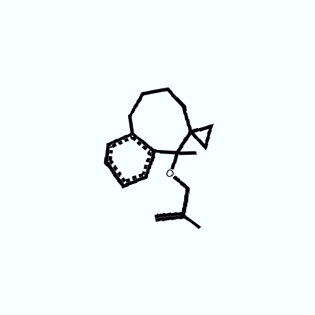 C=C(C)COC1(C)c2ccccc2CCCCC12CC2